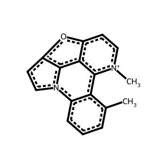 Cc1cccc2c1c1c3c(cc[n+]1C)oc1ccn2c13